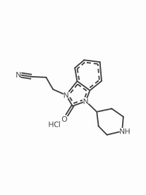 Cl.N#CCCn1c(=O)n(C2CCNCC2)c2ccccc21